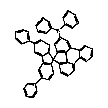 C1=C(c2ccccc2)C=C2c3cc(-c4ccccc4)ccc3C3(c4cccc5c6ccccc6c6cc(N(c7ccccc7)c7ccccc7)cc3c6c45)C2C1